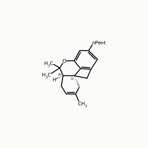 CCCCCc1cc2c3c(c1)OC(C)(C)[C@@H]1CC=C(C)C[C@@]31C2